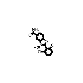 NC(=O)c1ccc2c(c1)N(O)C(c1c(Cl)cccc1Cl)O2